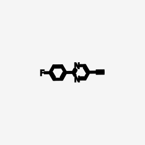 C#Cc1cnc(-c2ccc(F)cc2)nc1